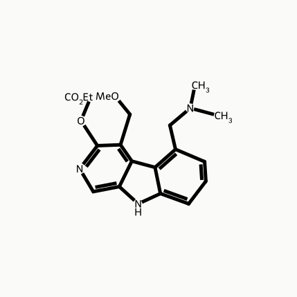 CCOC(=O)Oc1ncc2[nH]c3cccc(CN(C)C)c3c2c1COC